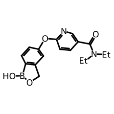 CCN(CC)C(=O)c1ccc(Oc2ccc3c(c2)COB3O)nc1